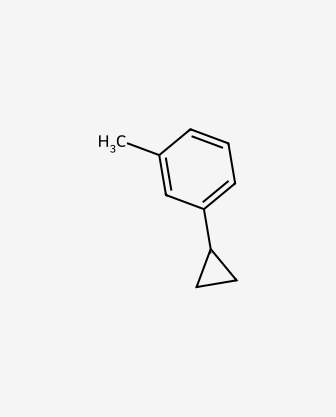 Cc1cccc([C]2CC2)c1